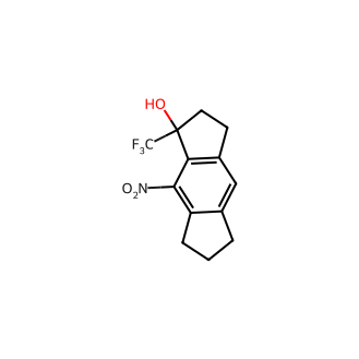 O=[N+]([O-])c1c2c(cc3c1C(O)(C(F)(F)F)CC3)CCC2